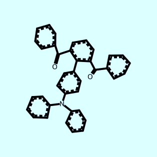 O=C(c1ccccc1)c1cccc(C(=O)c2ccccc2)c1-c1ccc(N(c2ccccc2)c2ccccc2)cc1